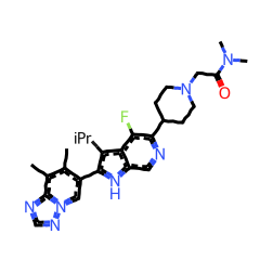 Cc1c(-c2[nH]c3cnc(C4CCN(CC(=O)N(C)C)CC4)c(F)c3c2C(C)C)cn2ncnc2c1C